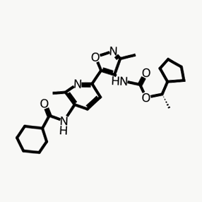 Cc1nc(-c2onc(C)c2NC(=O)O[C@@H](C)C2CCCC2)ccc1NC(=O)C1CCCCC1